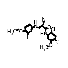 CCOc1ccc(N/C=C(\C#N)C(=O)Nc2cc(OC)c(Cl)cc2Cl)cc1I